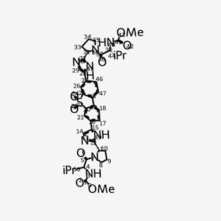 COC(=O)NC(C(=O)N1CCC[C@@H]1c1ncc(-c2ccc3c(c2)S(=O)(=O)c2cc(-c4cnc([C@H]5CCCN5C(=O)[C@H](NC(=O)OC)C(C)C)[nH]4)ccc2-3)[nH]1)C(C)C